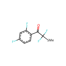 CSC(F)(F)C(=O)c1ccc(F)cc1F